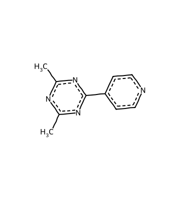 Cc1nc(C)nc(-c2ccncc2)n1